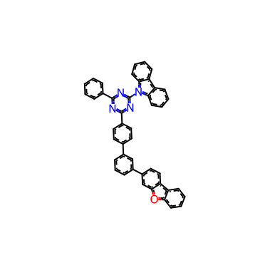 c1ccc(-c2nc(-c3ccc(-c4cccc(-c5ccc6c(c5)oc5ccccc56)c4)cc3)nc(-n3c4ccccc4c4ccccc43)n2)cc1